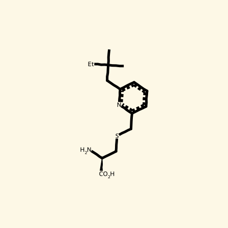 CCC(C)(C)Cc1cccc(CSC[C@H](N)C(=O)O)n1